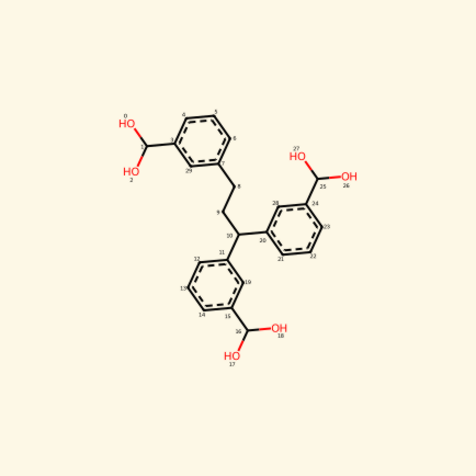 OC(O)c1cccc(CCC(c2cccc(C(O)O)c2)c2cccc(C(O)O)c2)c1